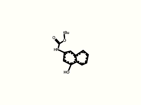 CC(C)(C)OC(=O)Nc1cc(O)c2ccccc2c1